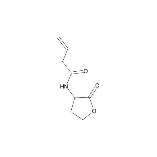 C=CCC(=O)NC1CCOC1=O